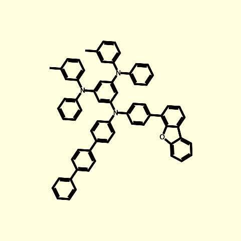 Cc1cccc(N(c2ccccc2)c2cc(N(c3ccc(-c4ccc(-c5ccccc5)cc4)cc3)c3ccc(-c4cccc5c4oc4ccccc45)cc3)cc(N(c3ccccc3)c3cccc(C)c3)c2)c1